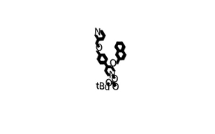 CC(C)(C)OC(=O)ON1CCC(c2ccc(COCc3cccnc3)cc2)C(OCc2ccc3ccccc3c2)C1